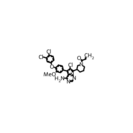 C=CC(=O)N1CCCC(c2c(Cl)c(-c3ccc(Oc4ccc(Cl)c(Cl)c4)c(OC)c3)c3c(N)ncnn23)C1